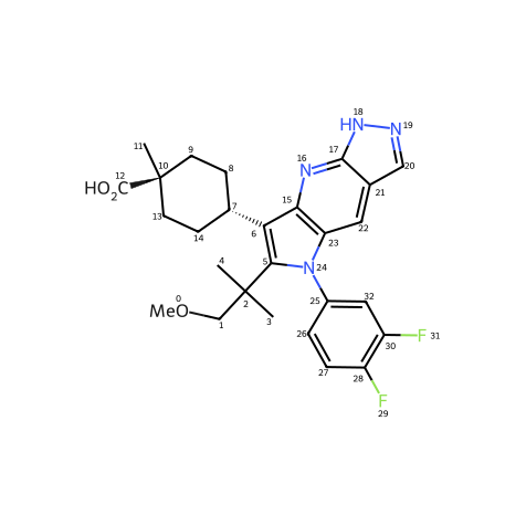 COCC(C)(C)c1c([C@H]2CC[C@](C)(C(=O)O)CC2)c2nc3[nH]ncc3cc2n1-c1ccc(F)c(F)c1